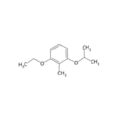 CCOc1cccc(OC(C)C)c1C